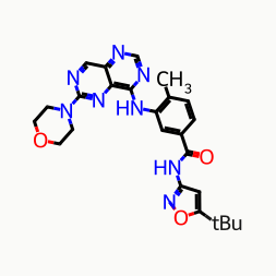 Cc1ccc(C(=O)Nc2cc(C(C)(C)C)on2)cc1Nc1ncnc2cnc(N3CCOCC3)nc12